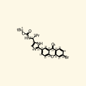 CC(C)[C@H](NC(=O)OC(C)(C)C)c1cnc(-c2ccc3oc4cc(Br)ccc4c(=O)c3c2)[nH]1